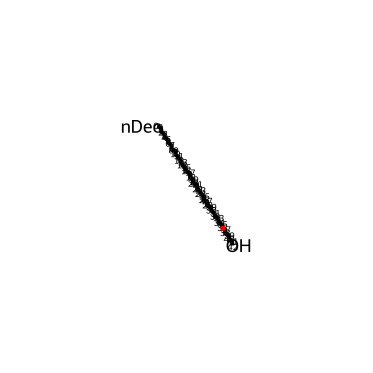 CCCCCCCCCCCCCCCCCCCCCCCCCCCCCCCCCCCCCCCCCCCCCCCCCCCO